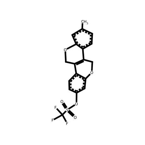 Cc1ccc2c(c1)OCC1=C2COc2cc(OS(=O)(=O)C(F)(F)F)ccc21